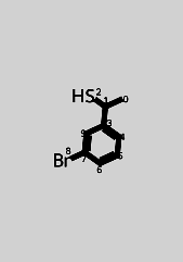 CC(S)c1cccc(Br)c1